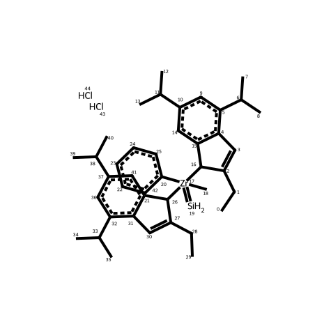 CCC1=Cc2c(C(C)C)cc(C(C)C)cc2[CH]1[Zr]([CH3])(=[SiH2])([c]1ccccc1)[CH]1C(CC)=Cc2c(C(C)C)cc(C(C)C)cc21.Cl.Cl